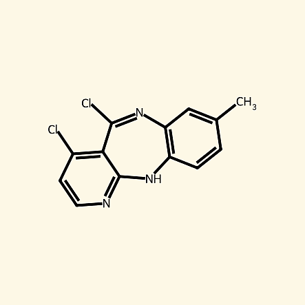 Cc1ccc2c(c1)N=C(Cl)c1c(Cl)ccnc1N2